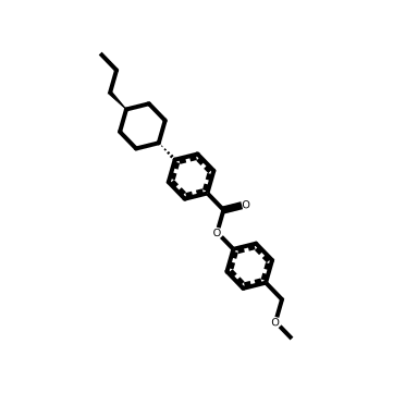 CCC[C@H]1CC[C@H](c2ccc(C(=O)Oc3ccc(COC)cc3)cc2)CC1